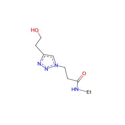 CCNC(=O)CCn1cc(CCO)nn1